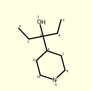 CCC(O)(CC)C1CC[N]CC1